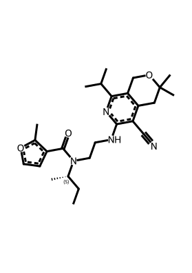 CC[C@H](C)N(CCNc1nc(C(C)C)c2c(c1C#N)CC(C)(C)OC2)C(=O)c1ccoc1C